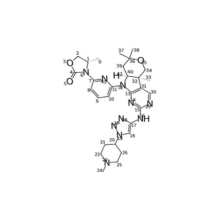 C[C@H]1COC(=O)N1c1cccc(N2c3nc(Nc4cn(C5CCN(C)CC5)nn4)ncc3[C@]3(C)COC(C)(C)C[C@H]23)n1